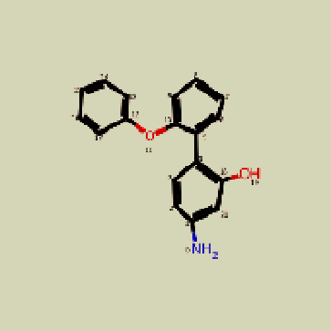 Nc1ccc(-c2ccccc2Oc2ccccc2)c(O)c1